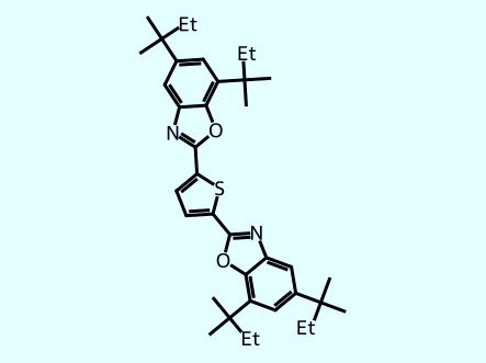 CCC(C)(C)c1cc(C(C)(C)CC)c2oc(-c3ccc(-c4nc5cc(C(C)(C)CC)cc(C(C)(C)CC)c5o4)s3)nc2c1